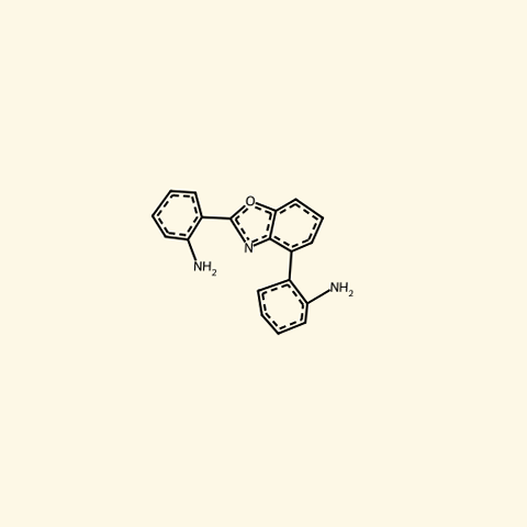 Nc1ccccc1-c1nc2c(-c3ccccc3N)cccc2o1